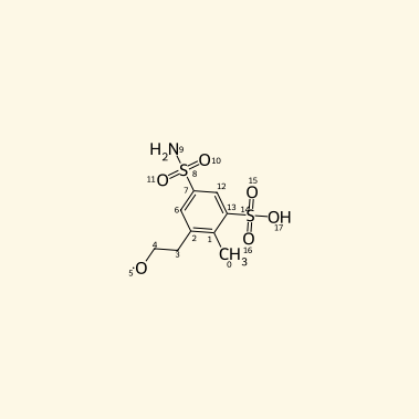 Cc1c(CC[O])cc(S(N)(=O)=O)cc1S(=O)(=O)O